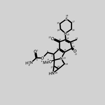 COC12C(COC(N)=O)C3=C(C(=O)C(C)=C(N4CCSCC4)C3=O)N1CC1NC12